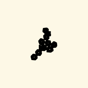 c1ccc(-c2ccc(-c3cc(-c4cccc5c6ccccc6c6cc(-c7ccc8c(c7)sc7ccccc78)ccc6c45)nc(-c4ccccc4)n3)cc2)cc1